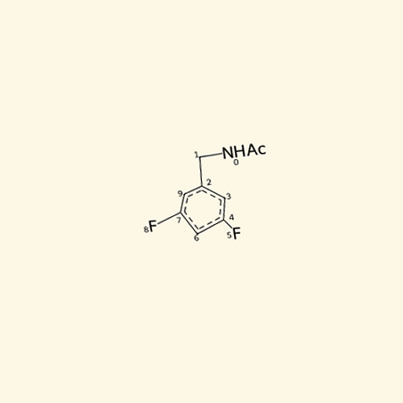 CC(=O)NCc1cc(F)cc(F)c1